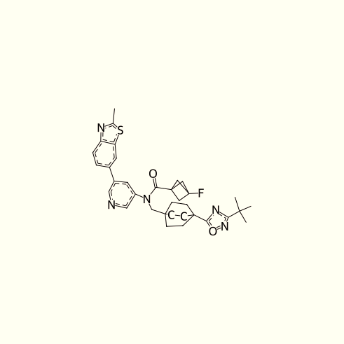 Cc1nc2ccc(-c3cncc(N(CC45CCC(c6nc(C(C)(C)C)no6)(CC4)CC5)C(=O)C45CC(F)(C4)C5)c3)cc2s1